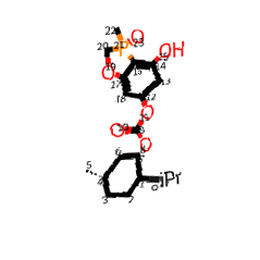 CC(C)C1CC[C@H](C)C[C@@H]1OC(=O)Oc1cc(O)c2c(c1)OCP2(C)=O